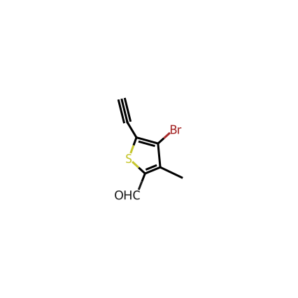 C#Cc1sc(C=O)c(C)c1Br